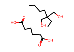 CCCCC(CC)(CO)CO.O=C(O)CCCCC(=O)O